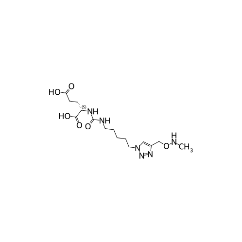 CNOCc1cn(CCCCCNC(=O)N[C@@H](CCC(=O)O)C(=O)O)nn1